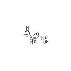 C[C@H]1CNC[C@@H](COP(=O)(N(C)C)N2C[C@@H](CO[PH](=O)N(C)C)O[C@@H](C)C2)O1